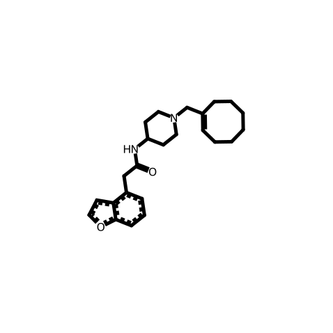 O=C(Cc1cccc2occc12)NC1CCN(C/C2=C/CCCCCC2)CC1